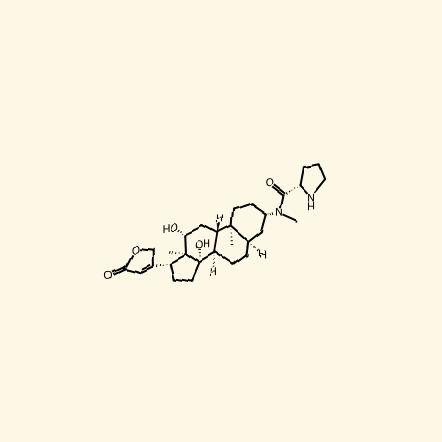 CN(C(=O)[C@@H]1CCCN1)[C@H]1CC[C@@]2(C)[C@H](CC[C@@H]3[C@@H]2C[C@@H](O)[C@]2(C)[C@@H](C4=CC(=O)OC4)CC[C@]32O)C1